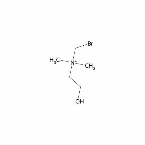 C[N+](C)(CBr)CCO